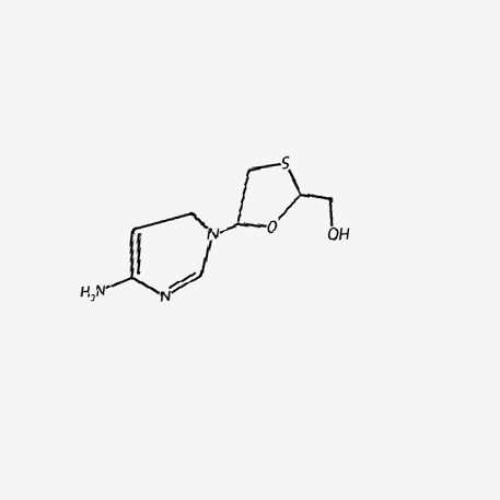 NC1=CCN(C2CSC(CO)O2)C=N1